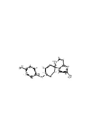 CCc1cc2c(s1)CCOC21CCN(Cc2ccc(Br)nc2)CC1